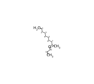 C=CCCCCCCC(C)OCCC